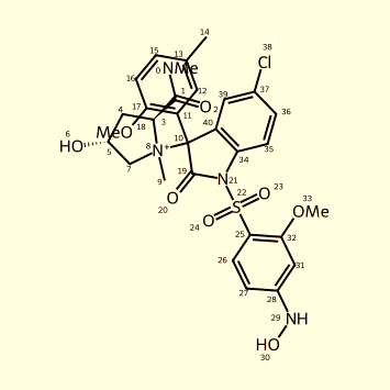 CNC(=O)[C@@H]1C[C@@H](O)C[N+]1(C)C1(c2cc(C)ccc2OC)C(=O)N(S(=O)(=O)c2ccc(NO)cc2OC)c2ccc(Cl)cc21